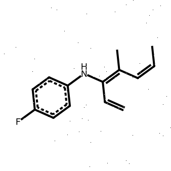 C=C/C(Nc1ccc(F)cc1)=C(C)\C=C/C